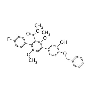 COC(=O)c1c(OC)c(-c2ccc(OCc3ccccc3)c(O)c2)cc(OC)c1-c1ccc(F)cc1